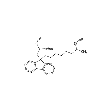 CCCCCCC(CC1(CCCCCCC(C)OCCC)c2ccccc2-c2ccccc21)OCCC